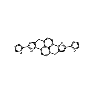 c1csc(-c2cc3c(s2)-c2ccc4c5c(ccc(c25)C3)-c2sc(-c3cccs3)cc2C4)c1